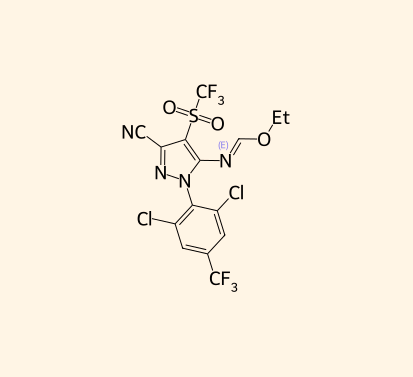 CCO/C=N/c1c(S(=O)(=O)C(F)(F)F)c(C#N)nn1-c1c(Cl)cc(C(F)(F)F)cc1Cl